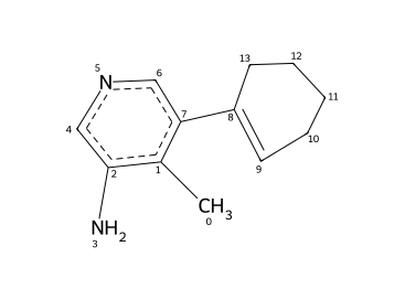 Cc1c(N)cncc1C1=CCCCC1